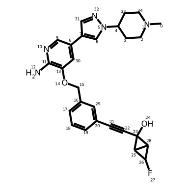 CN1CCC(n2cc(-c3cnc(N)c(OCc4cccc(C#CC5(O)C6C(F)C65)c4)c3)cn2)CC1